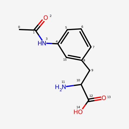 CC(=O)Nc1cccc(CC(N)C(=O)O)c1